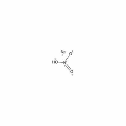 O=[N+]([O-])O.[Np]